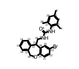 Cc1cc(C)c(NC(=O)NCC2c3ccccc3COc3ccc(Br)cc32)c(C)c1